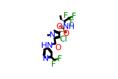 CC[C@@H](NS(=O)(=O)c1cn(C)c(C(=O)Nc2ccnc(C(F)F)c2)c1Cl)C(F)(F)F